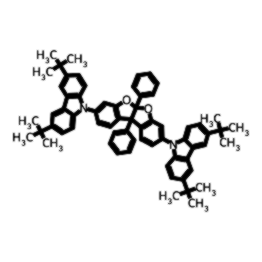 CC(C)(C)c1ccc2c(c1)c1cc(C(C)(C)C)ccc1n2-c1ccc2c(c1)OC1(c3ccccc3)Oc3cc(-n4c5ccc(C(C)(C)C)cc5c5cc(C(C)(C)C)ccc54)ccc3C21c1ccccc1